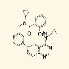 O=C(c1ccccc1O)N(Cc1cccc(-c2ccc3ncnc(NC4CC4)c3c2)c1)C1CC1